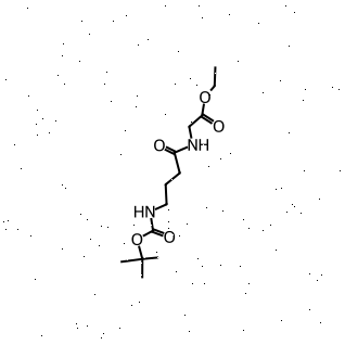 CCOC(=O)CNC(=O)CCCNC(=O)OC(C)(C)C